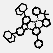 CC1(C)c2ccccc2N2B3c4c(cc(-c5ccccc5)cc4-n4c5ccc(C67CCCC(CCC6)C7)cc5c5cc(C67CCCC(CCC6)C7)cc3c54)-c3cccc1c32